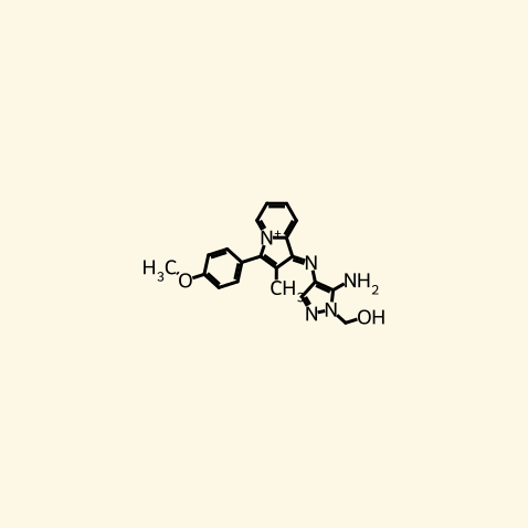 COc1ccc(C2=C(C)C(=Nc3cnn(CO)c3N)c3cccc[n+]32)cc1